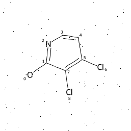 [O]c1nccc(Cl)c1Cl